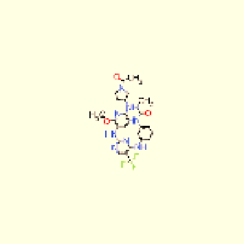 C=CC(=O)Nc1cccc(Nc2nc(Nc3ccc(NC4CCN(C(C)=O)C4)nc3OC)ncc2C(F)(F)F)c1